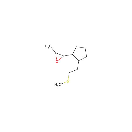 CSCCC1CCCC1C1OC1C